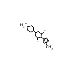 Cc1ccc(C2C(F)CC(C3CCC(C)CC3)CC2F)s1